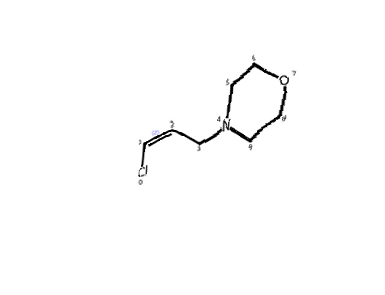 Cl/C=C\CN1CCOCC1